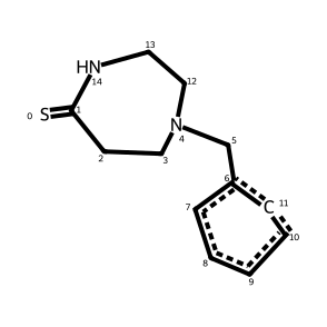 S=C1CCN(Cc2ccccc2)CCN1